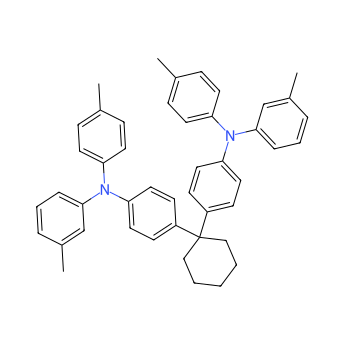 Cc1ccc(N(c2ccc(C3(c4ccc(N(c5ccc(C)cc5)c5cccc(C)c5)cc4)CCCCC3)cc2)c2cccc(C)c2)cc1